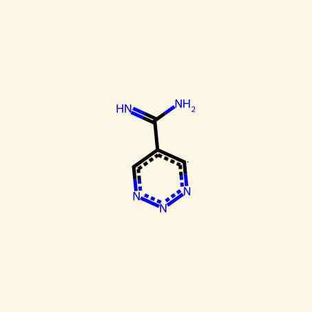 N=C(N)c1[c]nnnc1